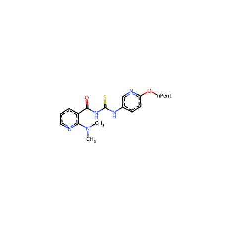 CCCCCOc1ccc(NC(=S)NC(=O)c2cccnc2N(C)C)cn1